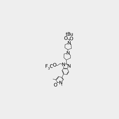 Cc1cc(-c2ccc3nc(C4CCN(C5CCN(C(=O)OC(C)(C)C)CC5)CC4)n(CCOC(F)(F)F)c3c2)cn(C)c1=O